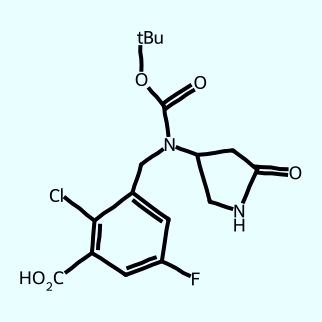 CC(C)(C)OC(=O)N(Cc1cc(F)cc(C(=O)O)c1Cl)C1CNC(=O)C1